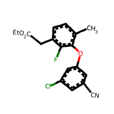 CCOC(=O)Cc1ccc(C)c(Oc2cc(Cl)cc(C#N)c2)c1F